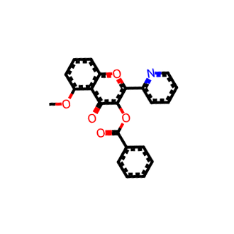 COc1cccc2oc(-c3ccccn3)c(OC(=O)c3ccccc3)c(=O)c12